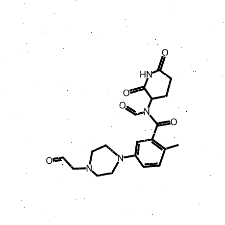 Cc1ccc(N2CCN(CC=O)CC2)cc1C(=O)N(C=O)C1CCC(=O)NC1=O